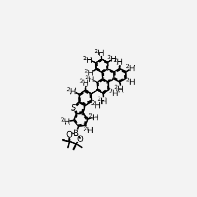 [2H]c1c(-c2c([2H])c([2H])c3c4c([2H])c([2H])c([2H])c([2H])c4c4c([2H])c([2H])c([2H])c([2H])c4c3c2[2H])c([2H])c2c(sc3c([2H])c(B4OC(C)(C)C(C)(C)O4)c([2H])c([2H])c32)c1[2H]